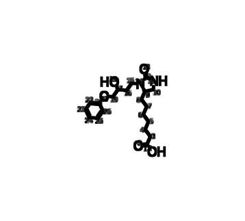 O=C(O)CCCCCCC1CNC(=O)N1CCC(O)COc1ccccc1